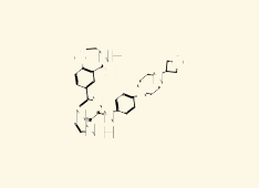 O=C1NCCOc2ccc(-c3cn4ccnc4c(Nc4ccc(N5CCN(C6COC6)CC5)cc4)n3)cc21